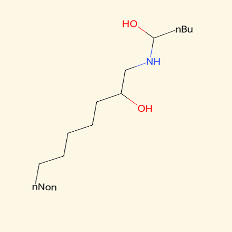 CCCCCCCCCCCCCCC(O)CNC(O)CCCC